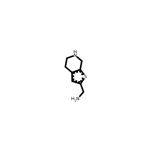 NCc1cc2c(s1)CNCC2